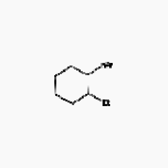 [CH2]CC1CCCCC1CCC